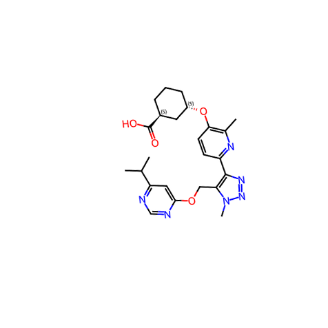 Cc1nc(-c2nnn(C)c2COc2cc(C(C)C)ncn2)ccc1O[C@H]1CCC[C@H](C(=O)O)C1